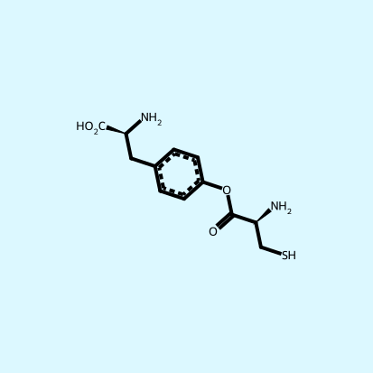 N[C@@H](Cc1ccc(OC(=O)[C@@H](N)CS)cc1)C(=O)O